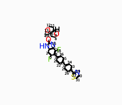 Fc1cc2[nH]c(OC3CO[C@@H]4CCO[C@H]34)nc2c(F)c1-c1ccc(-c2ccc(-c3nccs3)cc2)cc1